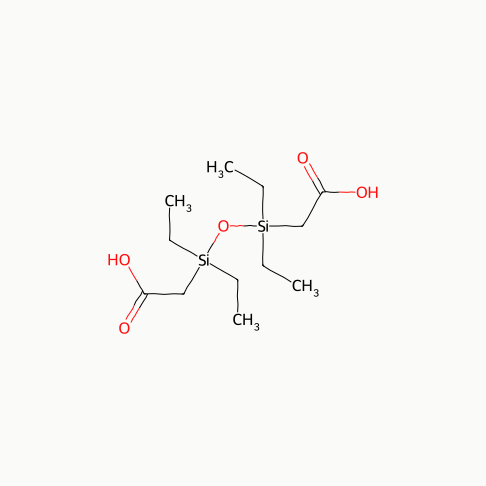 CC[Si](CC)(CC(=O)O)O[Si](CC)(CC)CC(=O)O